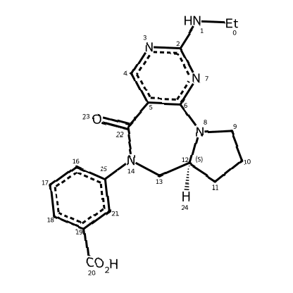 CCNc1ncc2c(n1)N1CCC[C@H]1CN(c1cccc(C(=O)O)c1)C2=O